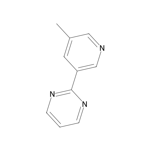 Cc1cncc(-c2ncccn2)c1